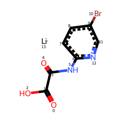 O=C(O)C(=O)Nc1ccc(Br)cn1.[Li]